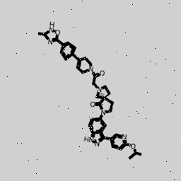 CC1N=C(c2ccc(C3=CCN(C(=O)CN4CC[C@]5(CCN(c6ccc7[nH]nc(-c8ccc(OC(C)C)nc8)c7c6)C5=O)C4)CC3)cc2)ON1